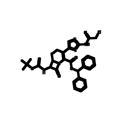 CC(C)(C)OC(=O)NC1C(=O)N2C(C(=O)OC(c3ccccc3)c3ccccc3)=C(c3cnc(NC(=O)CCl)s3)CSC12